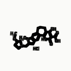 COC1CCN(Cc2cc3cc4c(cc3n2C)CCCc2c-4[nH]c(=O)c(C(=O)O)c2O)C1.Cl